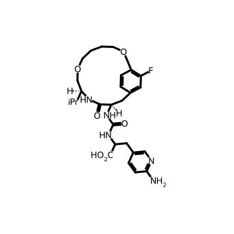 CC(C)[C@H]1COCCCCOc2ccc(cc2F)C[C@@H](NC(=O)NC(Cc2ccc(N)nc2)C(=O)O)C(=O)N1